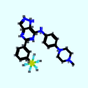 CN1CCN(c2ccc(Nc3nc(-c4cccc(S(F)(F)(F)(F)F)c4)nc4cn[nH]c34)cc2)CC1